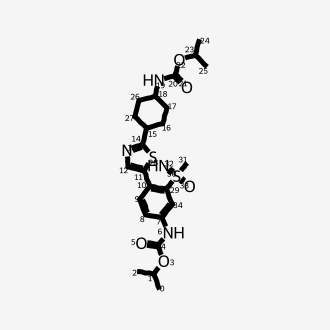 CC(C)OC(=O)Nc1ccc(-c2cnc(C3CCC(NC(=O)OC(C)C)CC3)s2)c(S(C)(=N)=O)c1